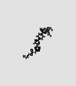 CCOC(=O)Cn1nnc(-c2cnc(N3CCN(C(=O)OC(C)(C)C)CC3)s2)n1